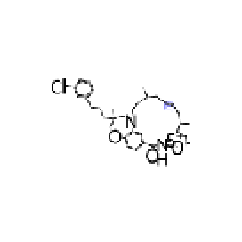 CCC1C(C)C/C=C/CC(C)CCN2CC(C)(CCCc3cccc(Cl)c3)COc3ccc(cc32)C(=O)N[S+]1[O-]